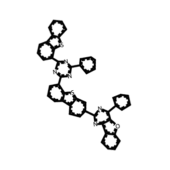 c1ccc(-c2nc(-c3cccc4c3sc3ccccc34)nc(-c3cccc4c3sc3cc(-c5nc(-c6ccccc6)c6oc7ccccc7c6n5)ccc34)n2)cc1